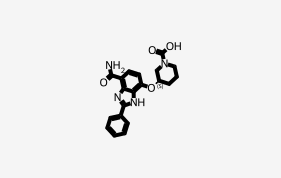 NC(=O)c1ccc(O[C@H]2CCCN(C(=O)O)C2)c2[nH]c(-c3ccccc3)nc12